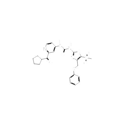 CS(=O)(=O)c1sc(NC(=O)Nc2ccnc(C(=O)C3CCCC3)c2)nc1CSc1ccccc1